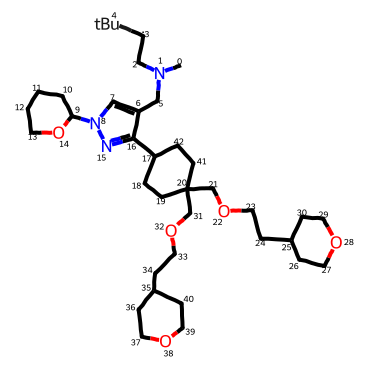 CN(C[CH]C(C)(C)C)Cc1cn(C2CCCCO2)nc1C1CCC(COCCC2CCOCC2)(COCCC2CCOCC2)CC1